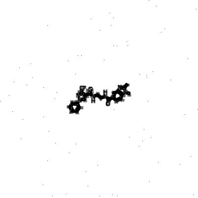 Cc1nc2cc(C(=O)NCCNC(=O)c3cn(-c4ccccc4)nc3C(F)(F)F)ccc2n1C